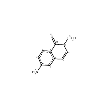 Nc1ccc2c(c1)C=CC(C(=O)O)C2=O